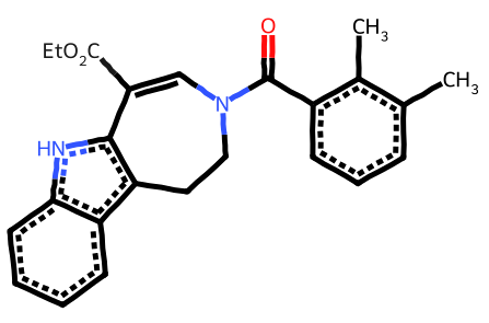 CCOC(=O)C1=CN(C(=O)c2cccc(C)c2C)CCc2c1[nH]c1ccccc21